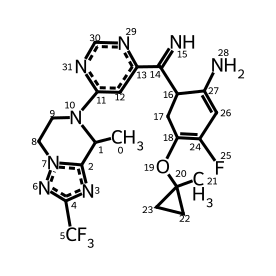 CC1c2nc(C(F)(F)F)nn2CCN1c1cc(C(=N)C2CC(OC3(C)CC3)=C(F)C=C2N)ncn1